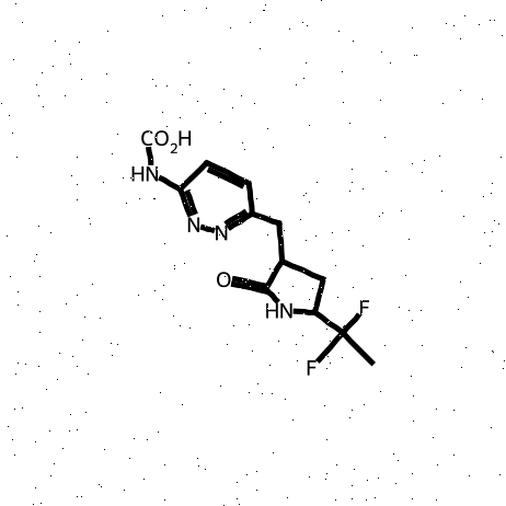 CC(F)(F)C1CC(Cc2ccc(NC(=O)O)nn2)C(=O)N1